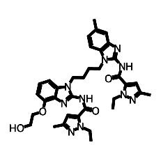 CCn1nc(C)cc1C(=O)Nc1nc2cc(C)ccc2n1CCCCn1c(NC(=O)c2cc(C)nn2CC)nc2c(OCCO)cccc21